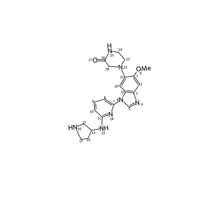 COc1cc2ncn(-c3cccc(NC4CCNC4)n3)c2cc1N1CCNC(=O)C1